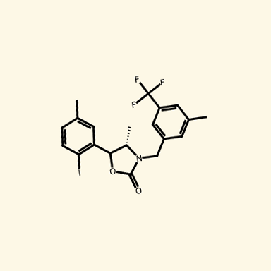 Cc1cc(CN2C(=O)OC(c3cc(C)ccc3I)[C@@H]2C)cc(C(F)(F)F)c1